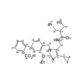 CCOc1nc(C2CC2)c(CNC(=O)C(CS)CC(C)C)n1Cc1ccc(-c2ccccc2C(=O)O)cc1